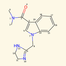 CN(C)C(=O)c1cn(CC2=NCCN2)c2ccccc12